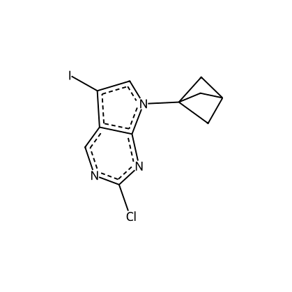 Clc1ncc2c(I)cn(C34CC(C3)C4)c2n1